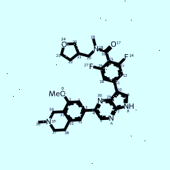 COc1cc(-c2cnc3[nH]cc(-c4cc(F)c(C(=O)N(C)CC5CCOC5)c(F)c4)c3n2)cc2c1CN(C)CC2